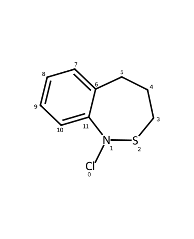 ClN1SCCCc2ccccc21